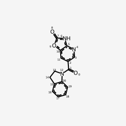 O=C(c1cnc2[nH]c(=O)oc2c1)N1CCc2ccccc21